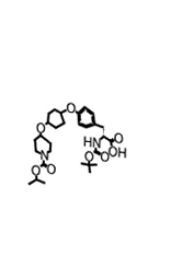 CC(C)OC(=O)N1CCC(OC2CCC(Oc3ccc(C[C@@H](NC(=O)OC(C)(C)C)C(=O)O)cc3)CC2)CC1